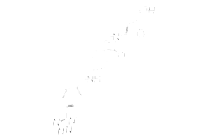 C[C@H]1C[C@]2(CC[C@@H](NCc3ccc4c(c3)Cn3nnnc3-4)CC2)C(=O)N1C1=CC(O)OC1